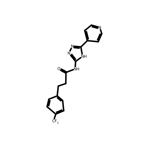 O=C(CCc1ccc(C(F)(F)F)cc1)Nc1nnc(-c2ccncc2)[nH]1